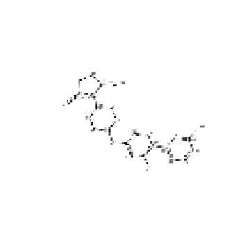 Cc1nc(CN2CCN(N3C(=O)CCC3=O)CC2)ccc1-c1cccc(F)c1